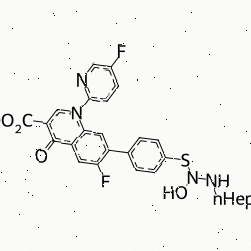 CCCCCCCNN(O)Sc1ccc(-c2cc3c(cc2F)c(=O)c(C(=O)O)cn3-c2ccc(F)cn2)cc1